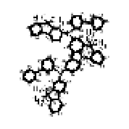 CC1(C)C2=CC(N(c3cccc(-c4ccccc4)c3)c3cc4c5c(c3)c3cc(N(c6cccc(-c7ccccc7)c6)c6ccc7c(c6)C(C)(C)[C@]6(C)C=CC=CC76)ccc3n5-c3ccccc3C4(C)C)CC=C2c2ccccc21